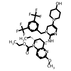 CCOC(=O)N1c2ccc(OC)nc2[C@@H](NC2=NC=C(N3CCC(O)CC3)CN2Cc2cc(C(F)(F)F)cc(C(F)(F)F)c2)C[C@H]1CC